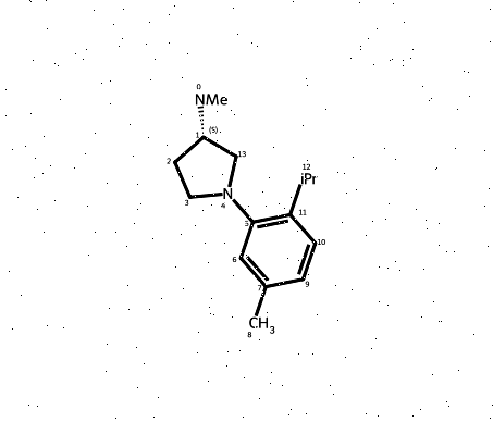 CN[C@H]1CCN(c2cc(C)ccc2C(C)C)C1